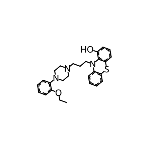 CCOc1ccccc1N1CCN(CCCN2c3ccccc3Sc3cccc(O)c32)CC1